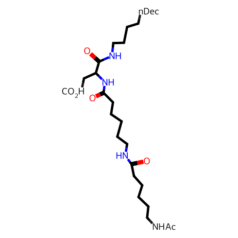 CCCCCCCCCCCCCCNC(=O)C(CC(=O)O)NC(=O)CCCCCNC(=O)CCCCCNC(C)=O